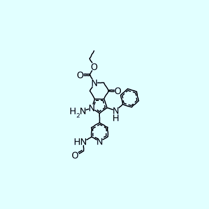 CCOC(=O)N1CC(=O)c2c(Nc3ccccc3)c(-c3ccnc(NC=O)c3)n(N)c2C1